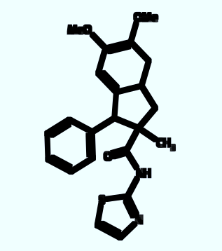 COC1=C(OC)CC2CC(C)(C(=O)Nc3nccs3)C(c3ccccc3)C2=C1